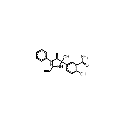 C=CCNC(O)(C(=C)Nc1ccccc1)c1ccc(O)c(C(N)=O)c1